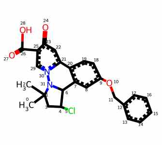 CC1(C)CC(Cl)C2c3cc(OCc4ccccc4)ccc3-c3cc(=O)c(C(=O)O)cn3N21